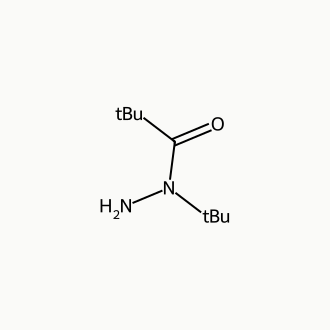 CC(C)(C)C(=O)N(N)C(C)(C)C